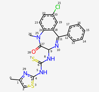 Cc1csc(NC(=S)NC2N=C(c3ccccc3)c3cc(Cl)ccc3N(C)C2=O)n1